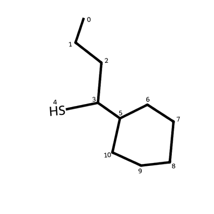 CCCC(S)C1CCCCC1